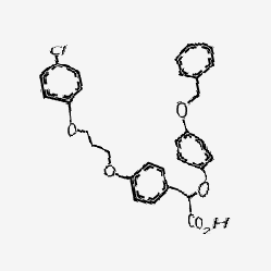 O=C(O)C(Oc1ccc(OCc2ccccc2)cc1)c1ccc(OCCCOc2ccc(Cl)cc2)cc1